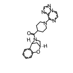 O=C(C1CCN(c2nccn3ncnc23)CC1)N1C[C@@H]2C[C@H]1c1ccccc1O2